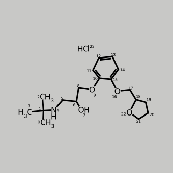 CC(C)(C)NCC(O)COc1ccccc1OCC1CCCO1.Cl